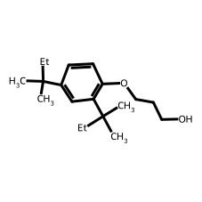 CCC(C)(C)c1ccc(OCCCO)c(C(C)(C)CC)c1